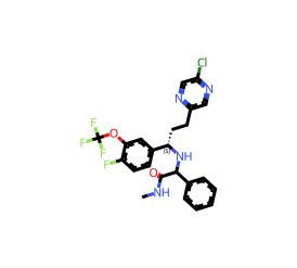 CNC(=O)C(N[C@@H](CCc1cnc(Cl)cn1)c1ccc(F)c(OC(F)(F)F)c1)c1ccccc1